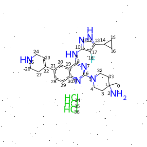 CC1(N)CCN(c2nc(Nc3n[nH]c(C4CC4)c3F)c3cc(C4=CCNCC4)ccc3n2)CC1.Cl.Cl.Cl